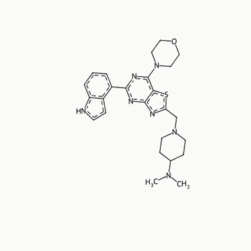 CN(C)C1CCN(Cc2nc3nc(-c4cccc5[nH]ccc45)nc(N4CCOCC4)c3s2)CC1